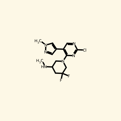 CNC1CN(c2nc(Cl)ncc2-c2cnn(C)c2)CC(F)(F)C1